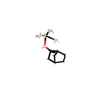 C[Si](C)(C)OC1=C2CCC(C2)C1